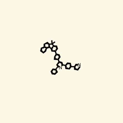 CC1(C)c2ccc(-c3ccc(-c4cc(-c5ccccc5)nc(-c5ccc(-c6cccnc6)cc5)c4)cc3)cc2-c2c1ccc1ccccc21